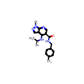 CCn1ncc2c(N[C@H](C)C(C)C)c(C(=O)NCc3ccc(C(F)(F)F)cc3)cnc21